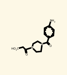 Nc1ccc(C(=O)N2CCN(C(=O)CC(=O)O)CC2)cc1